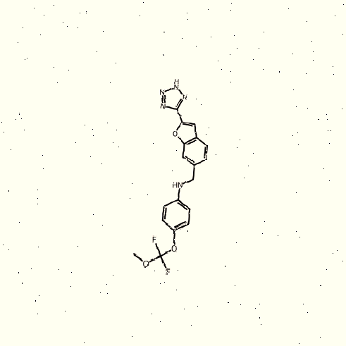 COC(F)(F)Oc1ccc(NCc2ccc3cc(-c4nn[nH]n4)oc3c2)cc1